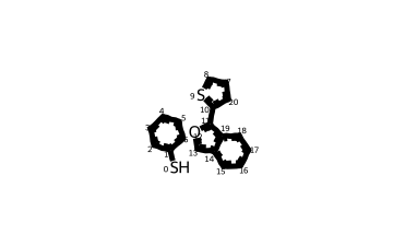 Sc1ccccc1.c1csc(-c2occ3ccccc23)c1